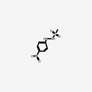 CS(=O)(=O)NNc1ccc([N+](=O)[O-])cc1